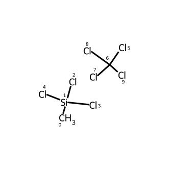 C[Si](Cl)(Cl)Cl.ClC(Cl)(Cl)Cl